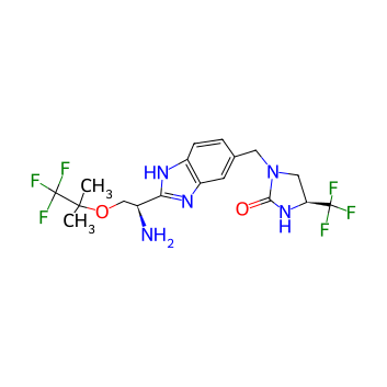 CC(C)(OC[C@H](N)c1nc2cc(CN3C[C@@H](C(F)(F)F)NC3=O)ccc2[nH]1)C(F)(F)F